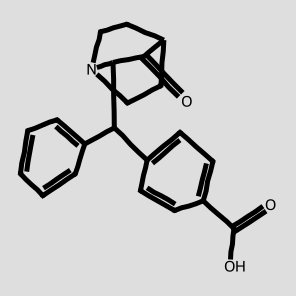 O=C(O)c1ccc(C(c2ccccc2)C2C(=O)C3CCN2CC3)cc1